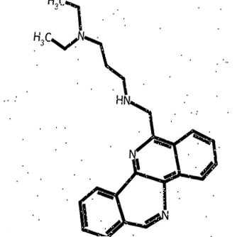 CCN(CC)CCCNCc1nc2c3ccccc3cnc2c2ccccc12